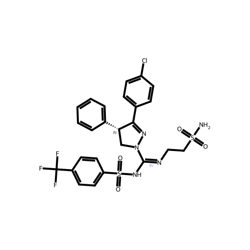 NS(=O)(=O)CC/N=C(/NS(=O)(=O)c1ccc(C(F)(F)F)cc1)N1C[C@H](c2ccccc2)C(c2ccc(Cl)cc2)=N1